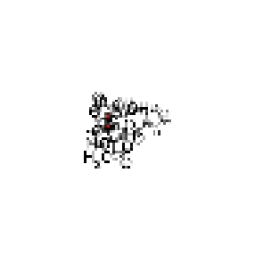 C[C@@H]1C(=O)O[C@H]2[C@H](OC(=O)c3ccccc3)C34C5OC(=O)[C@@]3(OC3OC(=O)[C@H](C)C34[C@H](C(C)(C)C)[C@H]5O)[C@@]12O